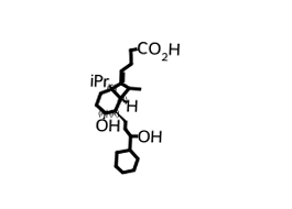 CC1C(=CCCC(=O)O)[C@@]2(C(C)C)CC[C@@H](O)[C@H](CCC(O)C3CCCCC3)[C@@H]12